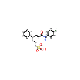 O=C(C=CC(CCCS(=O)(=O)O)c1ccccc1)Nc1ccc(Cl)cc1